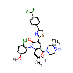 CCOc1ccc(Cl)c(-n2c(C=C(C)C)c(C(=O)N3CCN[C@@H](C)C3)cc(-c3nc(-c4ccc(C(F)F)cc4)cs3)c2=O)c1